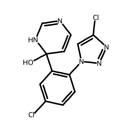 OC1(c2cc(Cl)ccc2-n2cc(Cl)nn2)C=CN=CN1